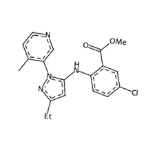 CCc1cc(Nc2ccc(Cl)cc2C(=O)OC)n(-c2cnccc2C)n1